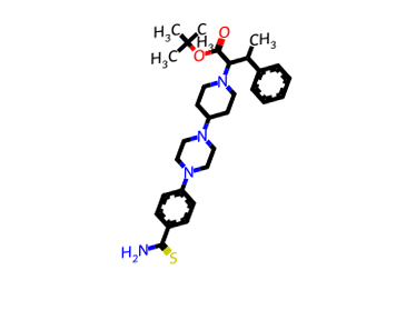 CC(c1ccccc1)C(C(=O)OC(C)(C)C)N1CCC(N2CCN(c3ccc(C(N)=S)cc3)CC2)CC1